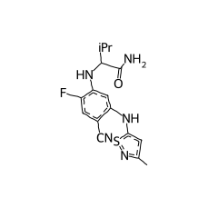 Cc1cc(Nc2cc(NC(C(N)=O)C(C)C)c(F)cc2C#N)sn1